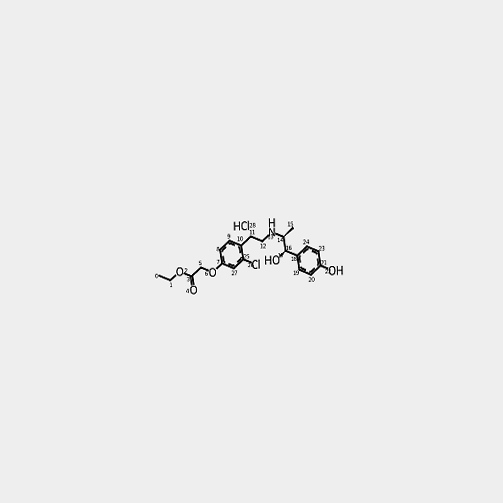 CCOC(=O)COc1ccc(CCN[C@@H](C)[C@H](O)c2ccc(O)cc2)c(Cl)c1.Cl